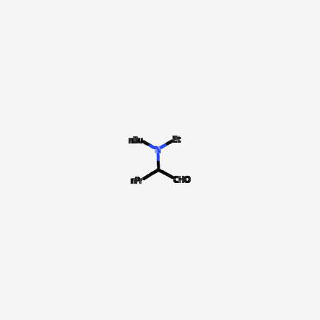 [CH2]CCC(C=O)N(CC)CCCC